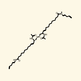 C=CC/C=C/NC(=O)CCCCCCCC/C=C/[C@H](CSSCC(/C=C/CCCCCCCCC(=O)N(C)/C=C/CC=C)NC(C)=O)NC(C)=O